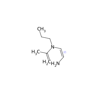 C=C(C)N(/C=C\N)CCC